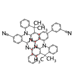 CC1(C)c2ccccc2N(c2cc(C#N)ccc2-c2nc(-c3ccccc3)nc(-c3ccc(-c4cccc(C#N)c4)cc3N3c4ccccc4C(C)(C)c4ccccc43)n2)c2ccccc21